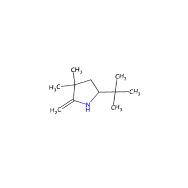 C=C1NC(C(C)(C)C)CC1(C)C